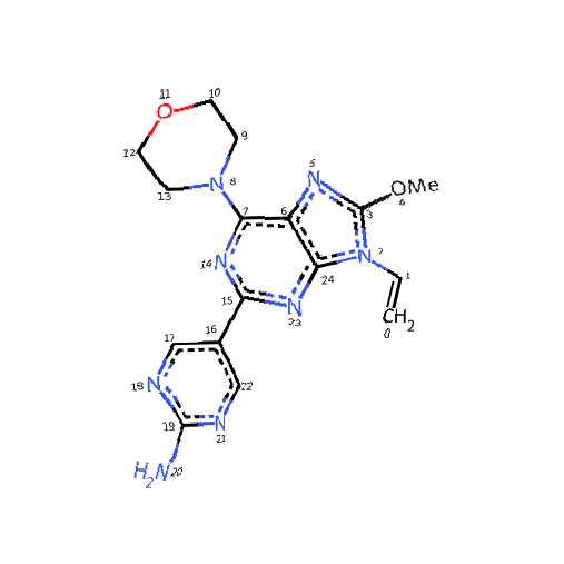 C=Cn1c(OC)nc2c(N3CCOCC3)nc(-c3cnc(N)nc3)nc21